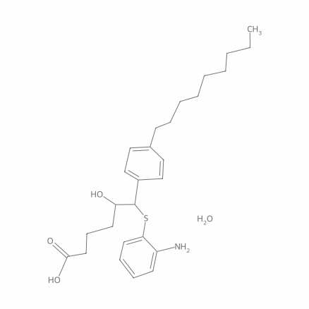 CCCCCCCCCc1ccc(C(Sc2ccccc2N)C(O)CCCC(=O)O)cc1.O